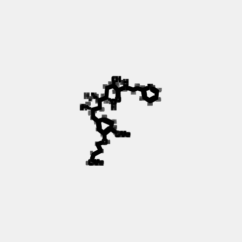 COCCCOc1cc(C[C@@H](C[C@H](N)[C@@H](O)C[C@@H](C)C(=O)NCCc2ccccn2)C(C)C)ccc1OC